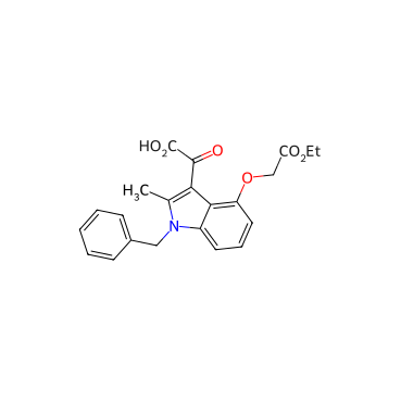 CCOC(=O)COc1cccc2c1c(C(=O)C(=O)O)c(C)n2Cc1ccccc1